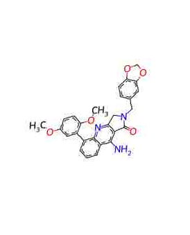 COc1ccc(OC)c(-c2cccc3c(N)c4c(nc23)CN(Cc2ccc3c(c2)OCO3)C4=O)c1